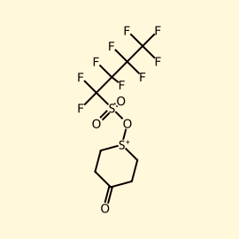 O=C1CC[S+](OS(=O)(=O)C(F)(F)C(F)(F)C(F)(F)C(F)(F)F)CC1